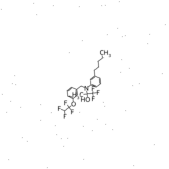 CCCCCc1cccc(N(Cc2cccc(OC(F)(F)C(F)F)c2)C(C)(O)C(F)(F)F)c1